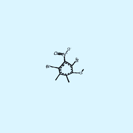 COc1c(C)c(C)c(Br)c([N+](=O)[O-])c1Br